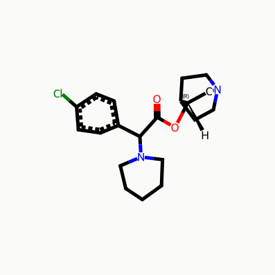 O=C(O[C@H]1CN2CCC1CC2)C(c1ccc(Cl)cc1)N1CCCCC1